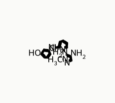 Clc1ccccn1.Cn1ncc(N)c1N.Nc1cccc(O)c1